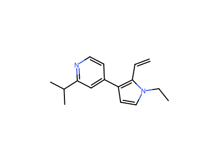 C=Cc1c(-c2ccnc(C(C)C)c2)ccn1CC